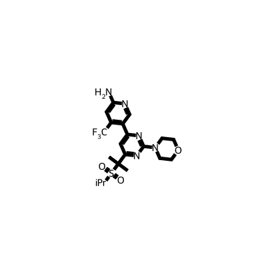 CC(C)S(=O)(=O)C(C)(C)c1cc(-c2cnc(N)cc2C(F)(F)F)nc(N2CCOCC2)n1